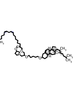 CCCCC/C=C\C/C=C\CCCCCCCCOCC(CN1CCC(OC)C1)OCCCCCO[C@H]1CC[C@@]2(C)C(=CC[C@H]3[C@@H]4CC[C@H]([C@H](C)CCCC(C)C)[C@@]4(C)CC[C@@H]32)C1